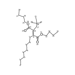 CCCCCCCCC(C(=O)OCCCC)=C(CC(C)(C)C)C(=O)OCCCC